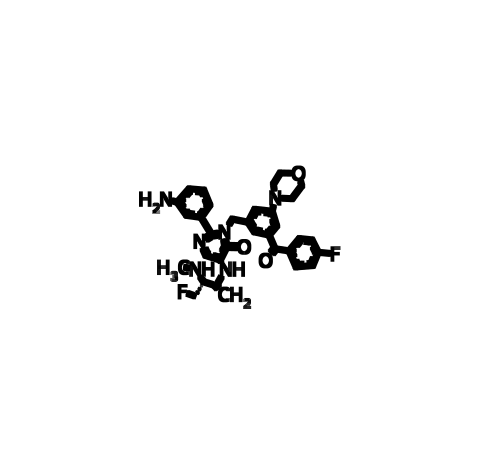 C=C(Nc1cnc(-c2cccc(N)c2)n(Cc2cc(C(=O)c3ccc(F)cc3)cc(N3CCOCC3)c2)c1=O)[C@H](CF)NC